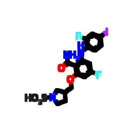 NC(=O)c1c(Nc2ccc(I)cc2F)cc(F)cc1OCC1CCN(S(=O)(=O)O)C1